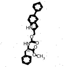 COC(=O)[C@@H](Cc1ccccc1)NC(=O)OCc1cc2cc(-c3ccccc3)ccc2[nH]1